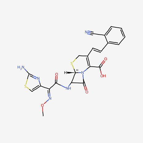 CON=C(C(=O)NC1C(=O)N2C(C(=O)O)=C(C=Cc3ccccc3C#N)CS[C@@H]12)c1csc(N)n1